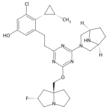 C[C@H]1C[C@H]1c1c(Cl)cc(O)cc1CCc1nc(OC[C@@]23CCCN2C[C@H](F)C3)nc(N2C[C@H]3CC[C@@H](C2)N3)n1